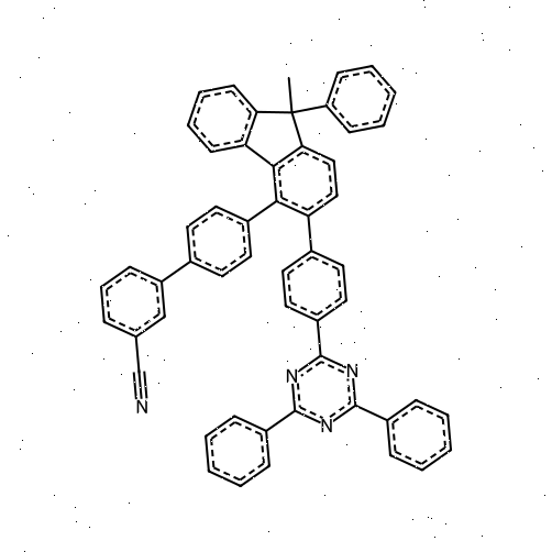 CC1(c2ccccc2)c2ccccc2-c2c1ccc(-c1ccc(-c3nc(-c4ccccc4)nc(-c4ccccc4)n3)cc1)c2-c1ccc(-c2cccc(C#N)c2)cc1